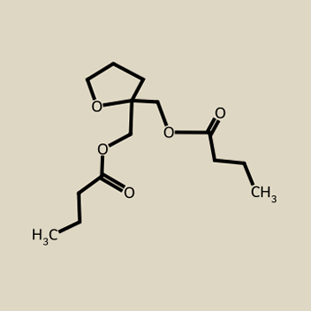 CCCC(=O)OCC1(COC(=O)CCC)CCCO1